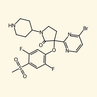 CS(=O)(=O)c1cc(F)c(OC2(c3nccc(Br)n3)CCN(C3CCNCC3)C2=O)cc1F